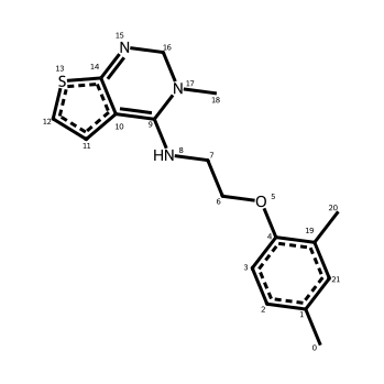 Cc1ccc(OCCNC2=c3ccsc3=NCN2C)c(C)c1